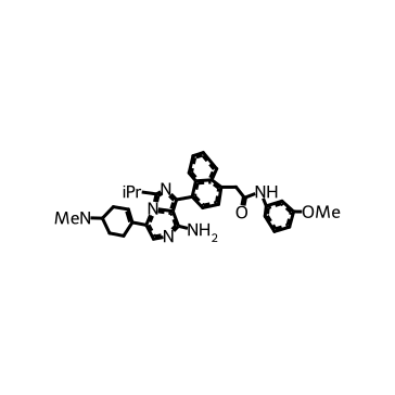 CNC1CC=C(c2cnc(N)c3c(-c4ccc(CC(=O)Nc5cccc(OC)c5)c5ccccc45)nc(C(C)C)n23)CC1